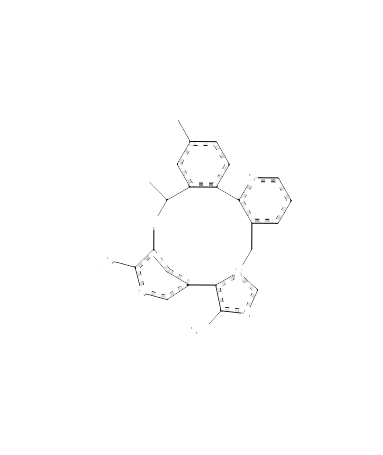 Cc1ccc2c(c1)C(C)Oc1cc(cnc1N)-c1c(C#N)ncn1Cc1cccnc1-2